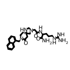 N=C(N)NCCCC(NC(=O)CN1CN[C@]2(CCN(Cc3cccc4ccccc34)C(=O)C2)C1)C(N)=O